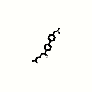 CC(C)=CCCC(=O)c1ccc(-c2ccc(CN(C)C)cc2)cc1